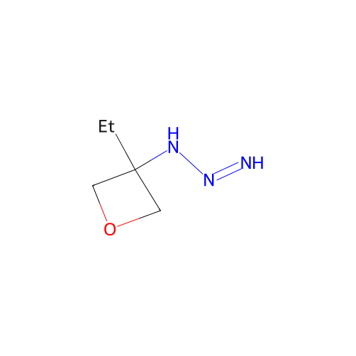 CCC1(NN=N)COC1